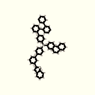 c1ccc(-c2ccccc2-c2ccccc2-c2ccc(N(c3ccc(-c4cccc(-c5cc6ccccc6o5)c4)cc3)c3ccc4c(ccc5ccccc54)c3)cc2)cc1